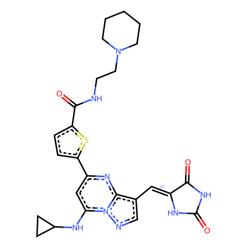 O=C1NC(=O)/C(=C/c2cnn3c(NC4CC4)cc(-c4ccc(C(=O)NCCN5CCCCC5)s4)nc23)N1